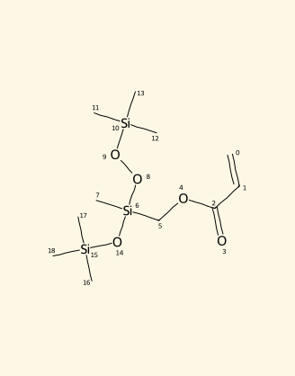 C=CC(=O)OC[Si](C)(OO[Si](C)(C)C)O[Si](C)(C)C